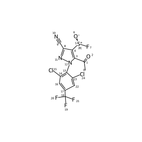 CC(=O)c1c([S@@+]([O-])F)c(C#N)nn1-c1c(Cl)cc(C(F)(F)F)cc1Cl